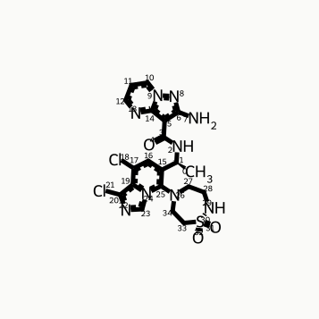 C[C@H](NC(=O)c1c(N)nn2cccnc12)c1cc(Cl)c2c(Cl)ncn2c1N1CCNS(=O)(=O)CC1